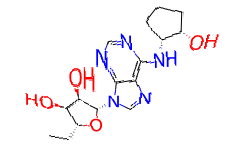 CC[C@H]1O[C@@H](n2cnc3c(N[C@@H]4CCC[C@@H]4O)ncnc32)[C@H](O)[C@@H]1O